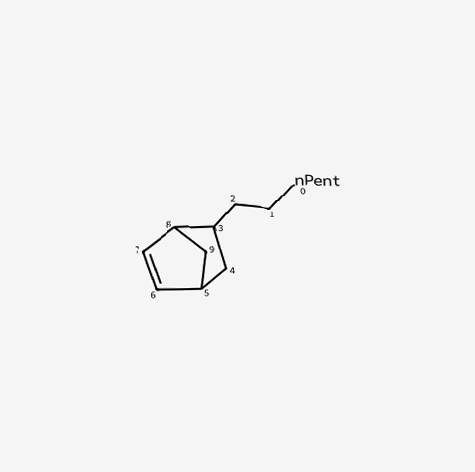 CCCCCCCC1CC2C=CC1C2